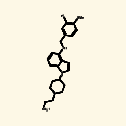 COc1ccc(CNc2cccc3c2C=C[SH]3C2CCC(CCC(=O)O)CC2)cc1Cl